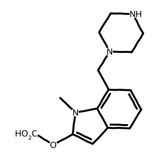 Cn1c(OC(=O)O)cc2cccc(CN3CCNCC3)c21